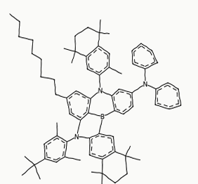 CCCCCCCCCc1cc2c3c(c1)N(c1c(C)cc(C(C)(C)C)cc1C)c1cc4c(cc1B3c1ccc(N(c3ccccc3)c3ccccc3)cc1N2c1cc2c(cc1C)C(C)(C)CCC2(C)C)C(C)(C)CCC4(C)C